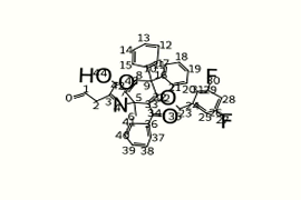 C=CCC(=NC1(C)C=CC(c2ccccc2)(c2ccccc2OCc2cc(F)cc(F)c2)C=C1C(=O)c1ccccc1)C(=O)O